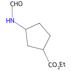 CCOC(=O)C1CCC(NC=O)C1